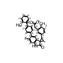 Cc1ccc(C2CC23C(=O)Nc2cc(F)c(-c4ccc(-c5ccccc5O)cc4)cc23)cc1CC(=O)O